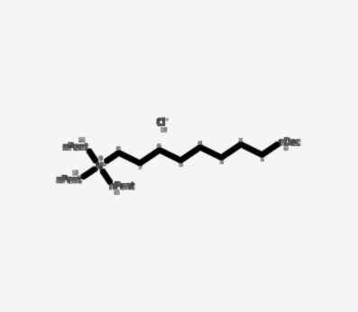 CCCCCCCCCCCCCCCCCC[N+](CCCCC)(CCCCC)CCCCC.[Cl-]